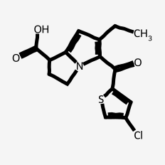 CCc1cc2n(c1C(=O)c1cc(Cl)cs1)CCC2C(=O)O